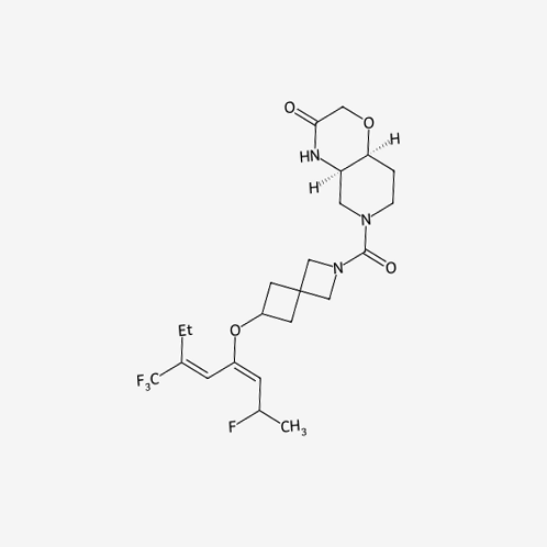 CC/C(=C\C(=C/C(C)F)OC1CC2(C1)CN(C(=O)N1CC[C@@H]3OCC(=O)N[C@@H]3C1)C2)C(F)(F)F